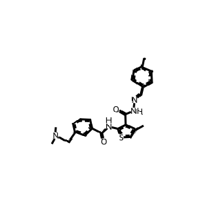 Cc1ccc(C=NNC(=O)c2c(C)csc2NC(=O)c2cccc(CN(C)C)c2)cc1